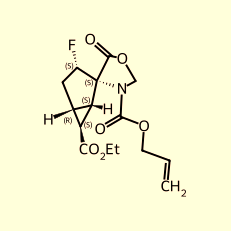 C=CCOC(=O)N1COC(=O)[C@]12[C@H]1[C@@H](C[C@@H]2F)[C@@H]1C(=O)OCC